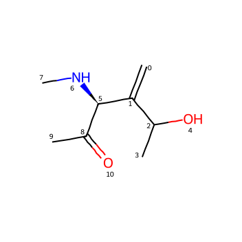 C=C(C(C)O)[C@H](NC)C(C)=O